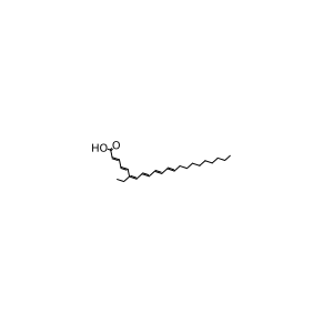 CCCCCCCCCC=CC=CC=CC=C(C=CC=CC(=O)O)CC